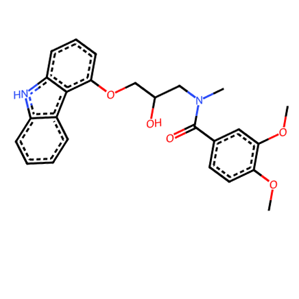 COc1ccc(C(=O)N(C)CC(O)COc2cccc3[nH]c4ccccc4c23)cc1OC